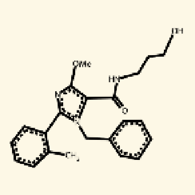 COc1nc(-c2ccccc2C)n(Cc2ccccc2)c1C(=O)NCCCO